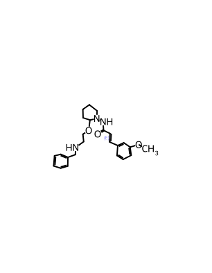 COc1cccc(/C=C/C(=O)NN2CCCCC2OCCNCc2ccccc2)c1